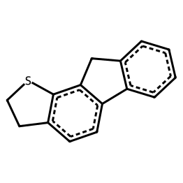 c1ccc2c(c1)Cc1c-2ccc2c1SCC2